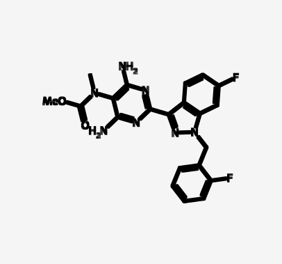 COC(=O)N(C)c1c(N)nc(-c2nn(Cc3ccccc3F)c3cc(F)ccc23)nc1N